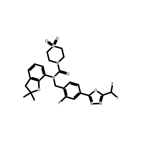 CC1(C)Cc2cccc(N(Cc3ccc(-c4nnc(C(F)F)o4)cc3F)C(=O)N3CCS(=O)(=O)CC3)c2O1